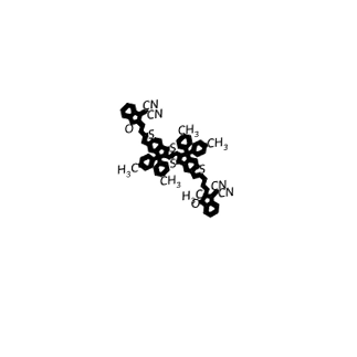 Cc1ccc(C2(c3ccc(C)cc3)c3cc4cc(C/C=C5\C(=O)c6ccccc6C5=C(C#N)C#N)sc4cc3-c3sc4c5c(sc4c32)-c2cc3cc(CCCC4(C)C(=O)c6ccccc6C4=C(C#N)C#N)sc3cc2C5(c2ccc(C)cc2)c2ccc(C)cc2)cc1